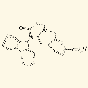 O=C(O)c1cccc(Cn2ccc(=O)n(C3c4ccccc4-c4ccccc43)c2=O)c1